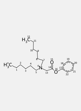 CCCCCCN(CCCCCC)CC(=O)Oc1ccccc1